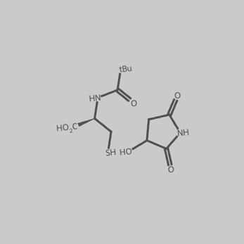 CC(C)(C)C(=O)N[C@@H](CS)C(=O)O.O=C1CC(O)C(=O)N1